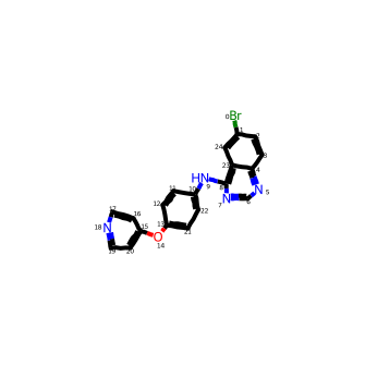 Brc1ccc2ncnc(Nc3ccc(Oc4ccncc4)cc3)c2c1